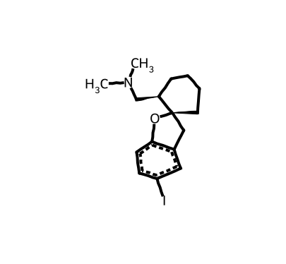 CN(C)C[C@H]1CCCC[C@]12Cc1cc(I)ccc1O2